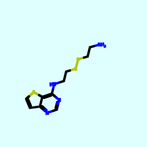 NCCSSCCNc1ncnc2ccsc12